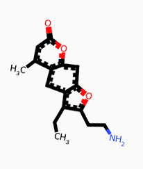 CCc1c(CCN)oc2cc3oc(=O)cc(C)c3cc12